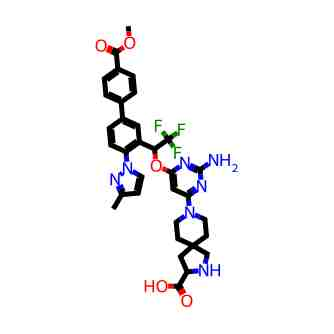 COC(=O)c1ccc(-c2ccc(-n3ccc(C)n3)c(C(Oc3cc(N4CCC5(CC4)CNC(C(=O)O)C5)nc(N)n3)C(F)(F)F)c2)cc1